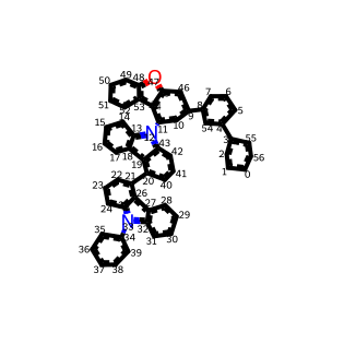 c1ccc(-c2cccc(-c3cc(-n4c5ccccc5c5c(-c6cccc7c6c6ccccc6n7-c6ccccc6)cccc54)c4c(c3)oc3ccccc34)c2)cc1